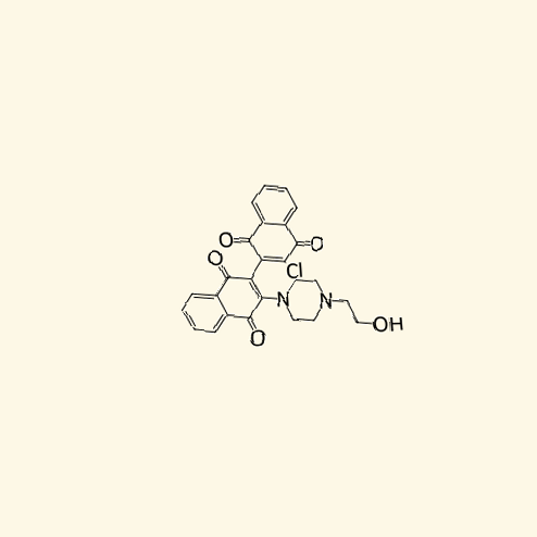 O=C1C(Cl)=C(C2=C(N3CCN(CCO)CC3)C(=O)c3ccccc3C2=O)C(=O)c2ccccc21